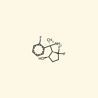 C[C@@](N)(c1ccccc1F)[C@@H]1[C@H](O)CCC1(F)F